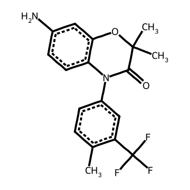 Cc1ccc(N2C(=O)C(C)(C)Oc3cc(N)ccc32)cc1C(F)(F)F